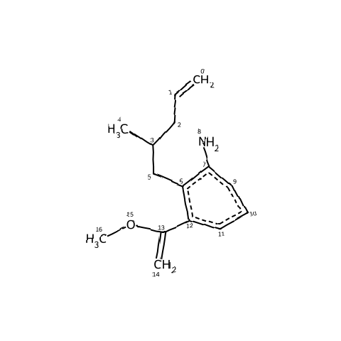 C=CCC(C)Cc1c(N)cccc1C(=C)OC